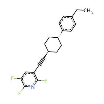 CCc1ccc([C@H]2CC[C@H](C#Cc3cc(F)c(F)nc3F)CC2)cc1